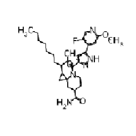 CCCCCCCC(CC)C1CC12CC(C(N)=O)CCN2C(=O)c1cc(-c2cc(OC)ncc2F)[nH]n1